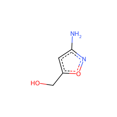 Nc1cc(CO)on1